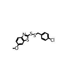 COc1ccc2nc(SSCc3ccc(Cl)cc3)sc2c1